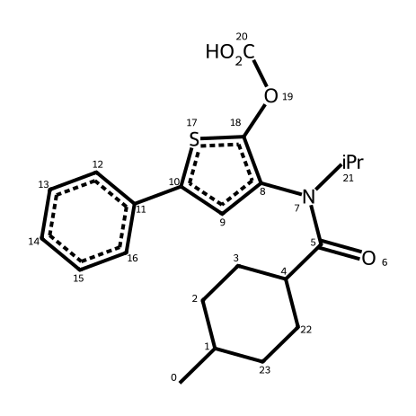 CC1CCC(C(=O)N(c2cc(-c3ccccc3)sc2OC(=O)O)C(C)C)CC1